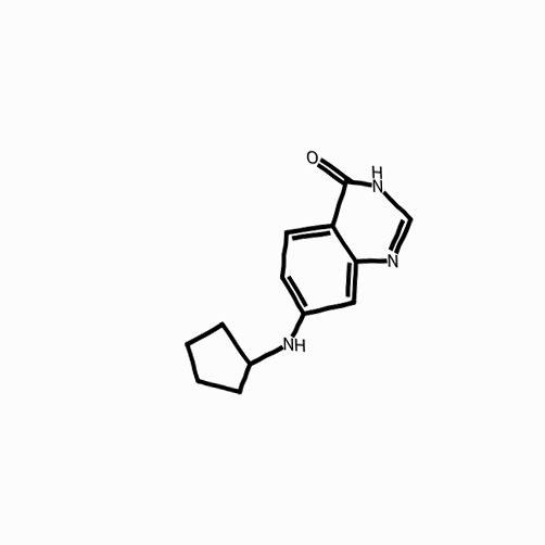 O=c1[nH]cnc2cc(NC3CCCC3)ccc12